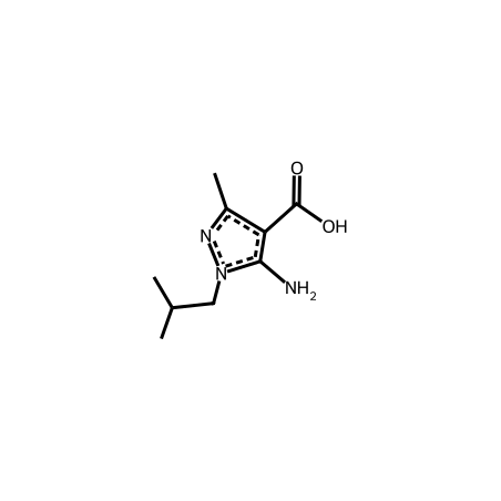 Cc1nn(CC(C)C)c(N)c1C(=O)O